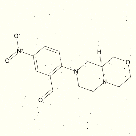 O=Cc1cc([N+](=O)[O-])ccc1N1CCN2CCOC[C@@H]2C1